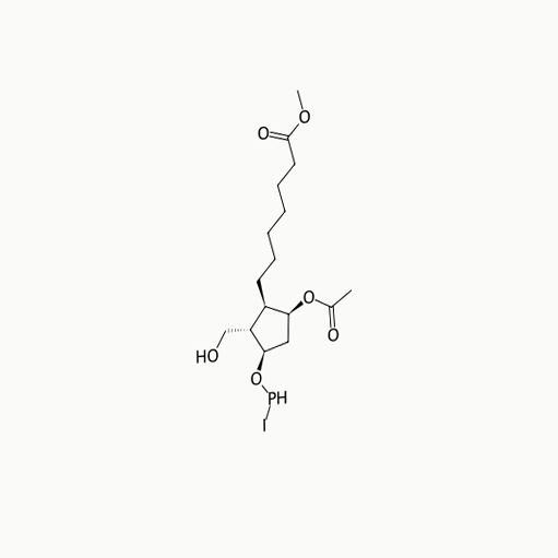 COC(=O)CCCCCC[C@@H]1[C@@H](CO)[C@H](OPI)C[C@@H]1OC(C)=O